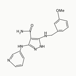 COc1cccc(CNc2[nH]nc(Nc3cccnc3)c2C(N)=O)c1